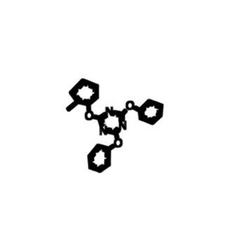 Cc1ccccc1Oc1nc(Oc2ccccc2)nc(Oc2ccccc2)n1